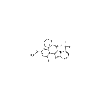 COc1cc(F)c(-c2nc3cccc(C(F)(F)F)n3c2NC2CCCCC2)c(F)c1